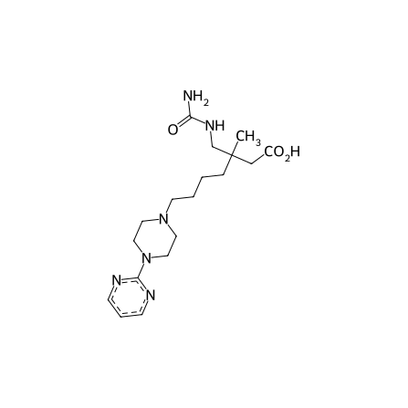 CC(CCCCN1CCN(c2ncccn2)CC1)(CNC(N)=O)CC(=O)O